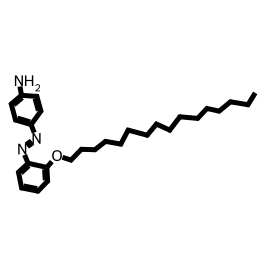 CCCCCCCCCCCCCCCCOc1ccccc1N=Nc1ccc(N)cc1